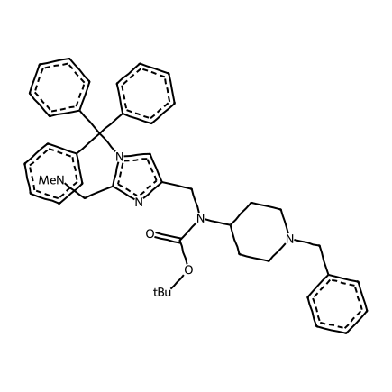 CNCc1nc(CN(C(=O)OC(C)(C)C)C2CCN(Cc3ccccc3)CC2)cn1C(c1ccccc1)(c1ccccc1)c1ccccc1